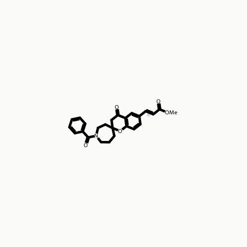 COC(=O)/C=C/c1ccc2c(c1)C(=O)CC1(CCCN(C(=O)c3ccccc3)CC1)O2